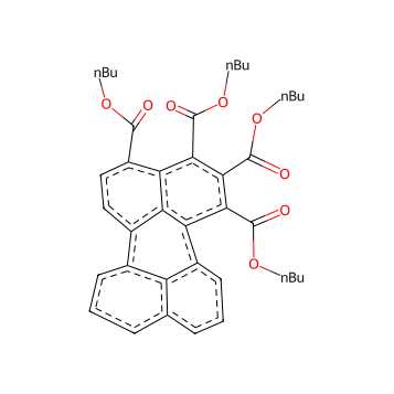 CCCCOC(=O)c1c(C(=O)OCCCC)c2c(C(=O)OCCCC)ccc3c4cccc5cccc(c(c1C(=O)OCCCC)c23)c54